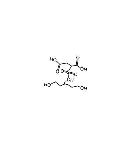 O=C(O)CC(C(=O)O)S(=O)(=O)O.OCCOCCO